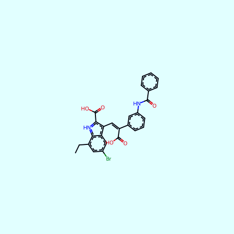 CCc1cc(Br)cc2c(C=C(C(=O)O)c3cccc(NC(=O)c4ccccc4)c3)c(C(=O)O)[nH]c12